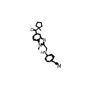 Cn1c(CNc2ccc(C#N)cc2)nc2cc(C(=O)C3(C)CCCC3)ccc21